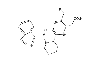 O=C(O)C[C@H](NC(=O)[C@@H]1CCCCN1C(=O)c1nccc2ccccc12)C(=O)CF